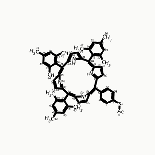 CC(=O)Sc1ccc(-c2c3nc(c(-c4c(C)cc(C)cc4C)c4ccc([nH]4)c(-c4c(C)cc(C)cc4C)c4nc(c(-c5c(C)cc(C)cc5C)c5ccc2[nH]5)C=C4)C=C3)cc1